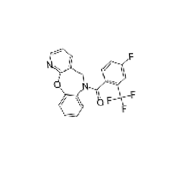 O=C(c1ccc(F)cc1C(F)(F)F)N1Cc2cccnc2Oc2ccccc21